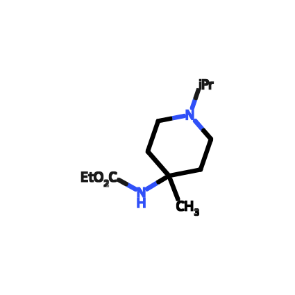 CCOC(=O)NC1(C)CCN(C(C)C)CC1